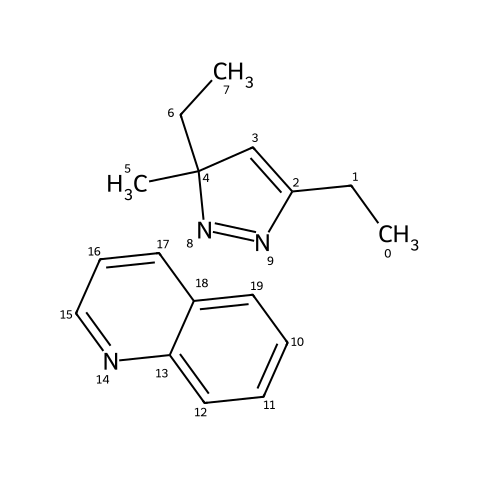 CCC1=CC(C)(CC)N=N1.c1ccc2ncccc2c1